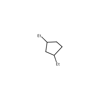 [CH2]CC1CCC(CC)C1